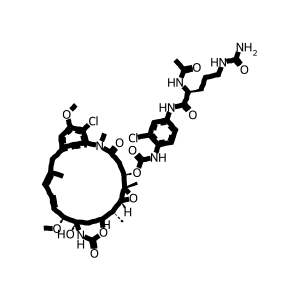 COc1cc2cc(c1Cl)N(C)C(=O)C[C@H](OC(=O)Nc1ccc(NC(=O)[C@H](CCCNC(N)=O)NC(C)=O)cc1Cl)[C@]1(C)O[C@H]1[C@H](C)[C@@H]1C[C@@](O)(NC(=O)O1)[C@H](OC)/C=C/C=C(\C)C2